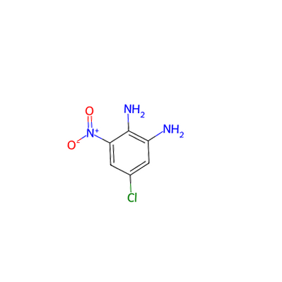 Nc1cc(Cl)cc([N+](=O)[O-])c1N